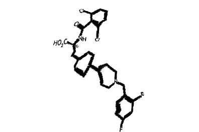 O=C(N[C@@H](Cc1ccc(C2=CCN(Cc3ccc(F)cc3F)CC2)cc1)C(=O)O)c1c(Cl)cccc1Cl